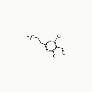 CCSc1cc(Cl)c(C=O)c(Cl)c1